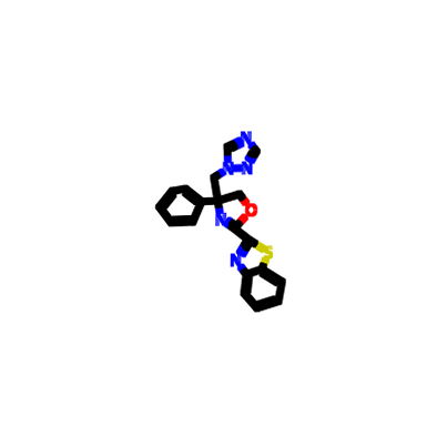 c1ccc(C2(Cn3cncn3)COC(c3nc4ccccc4s3)=N2)cc1